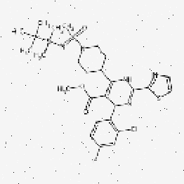 COC(=O)C1=C(C2CCN(S(C)(=O)=N[Si](C)(C)C(C)(C)C)CC2)NC(c2nccs2)=NC1c1ccc(F)cc1Cl